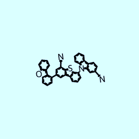 N#Cc1ccc2c3ccccc3n(-c3cccc4c3sc3c(C#N)cc(-c5cccc6oc7ccccc7c56)cc34)c2c1